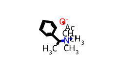 CC(=O)[O-].CC(c1ccccc1)[N+](C)(C)C